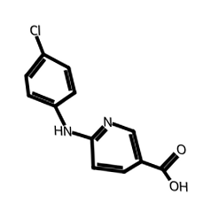 O=C(O)c1ccc(Nc2ccc(Cl)cc2)nc1